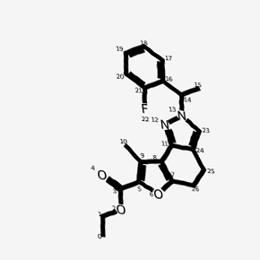 CCOC(=O)c1oc2c(c1C)-c1nn(C(C)c3ccccc3F)cc1CC2